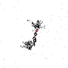 COCCO[C@H]1C[C@@H](c2ncc(-c3ccc(-c4ccc5cc(-c6cnc([C@@H]7CC8(CC8)CN7C(=O)C(NC(=O)OC)C(C)C)[nH]6)ccc5c4)cc3)[nH]2)N(C(=O)[C@@H](NC(=O)OC)C(C)C)C1